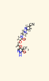 C[C@@H](COC1CCN(C2CCN(c3ccc(C#N)cn3)CC2)C1=O)Oc1cn[nH]c(=O)c1C(F)(F)F